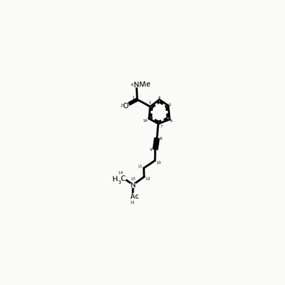 CNC(=O)c1cccc(C#CCCCN(C)C(C)=O)c1